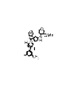 CO[C@@H]1COCC[C@@H]1N[C@@H]1CC[C@@](C(=O)N2C[C@@H]3C[C@H]2CN3c2cc(F)cc(C(F)(F)F)c2)(C2CCOC2)C1